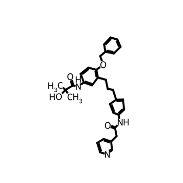 CC(C)(O)C(=O)Nc1ccc(OCc2ccccc2)c(CCCc2ccc(NC(=O)Cc3cccnc3)cc2)c1